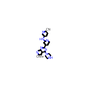 COc1cncc2nc(-c3ccnc(Nc4ccc(C#N)nc4)c3)nc(N3CCNCC3)c12